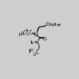 COCCN(C(=O)O)C(=O)NCC(F)(F)F